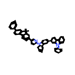 CC1(C)c2cc(-c3ccccc3)ccc2-c2ccc(-c3ccc(-n4c5ccccc5c5cc(-c6ccc7c8ccccc8n(-c8ccccc8)c7c6)ccc54)nc3)cc21